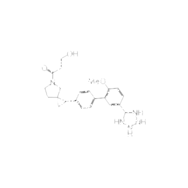 COc1ccc(C2NNNN2)cc1-c1ccc([C@H]2C[C@@]23CCN(C(=O)CCO)C3)cc1